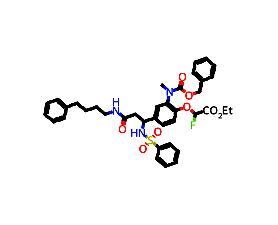 CCOC(=O)C(F)Oc1ccc(C(CC(=O)NCCCCc2ccccc2)NS(=O)(=O)c2ccccc2)cc1N(C)C(=O)OCc1ccccc1